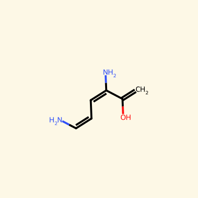 C=C(O)/C(N)=C\C=C/N